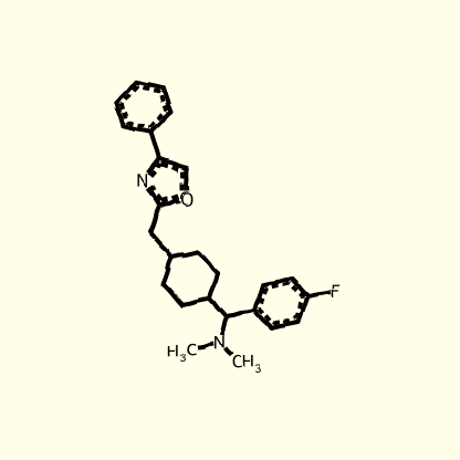 CN(C)C(c1ccc(F)cc1)C1CCC(Cc2nc(-c3ccccc3)co2)CC1